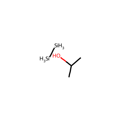 CC(C)O.[SiH3][SiH3]